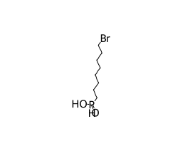 O=[PH](O)CCCCCCCCBr